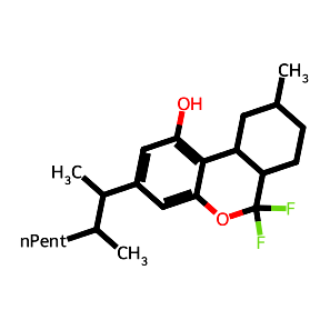 CCCCCC(C)C(C)c1cc(O)c2c(c1)OC(F)(F)C1CCC(C)CC21